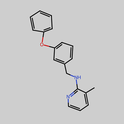 Cc1cccnc1NCc1cccc(Oc2ccccc2)c1